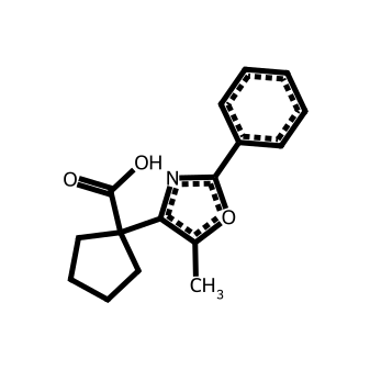 Cc1oc(-c2ccccc2)nc1C1(C(=O)O)CCCC1